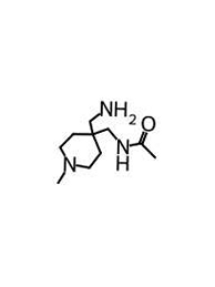 CC(=O)NCC1(CN)CCN(C)CC1